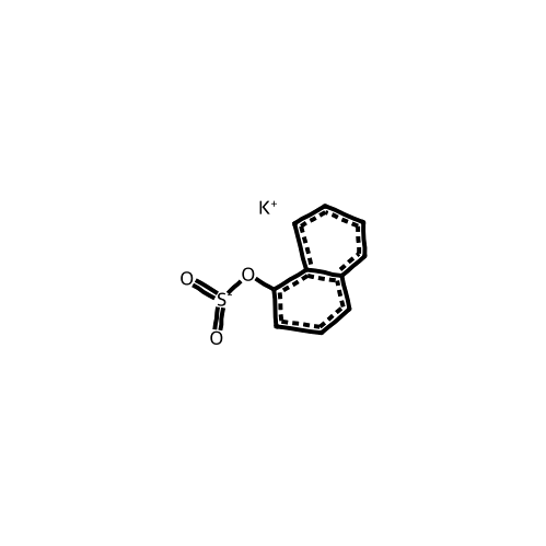 O=[S-](=O)Oc1cccc2ccccc12.[K+]